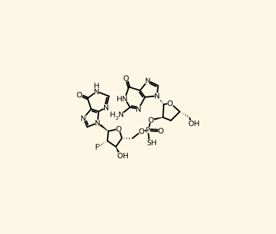 Nc1nc2c(ncn2[C@@H]2O[C@H](CO)C[C@H]2OP(=O)(S)OC[C@H]2O[C@H](n3cnc4c(=O)[nH]cnc43)[C@@H](F)[C@@H]2O)c(=O)[nH]1